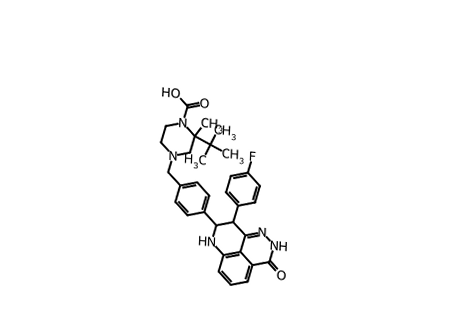 CC(C)(C)C1(C)CN(Cc2ccc(C3Nc4cccc5c(=O)[nH]nc(c45)C3c3ccc(F)cc3)cc2)CCN1C(=O)O